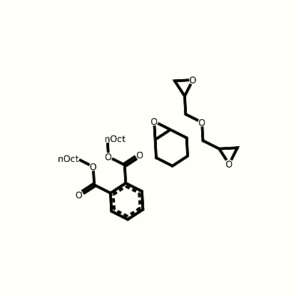 C(OCC1CO1)C1CO1.C1CCC2OC2C1.CCCCCCCCOC(=O)c1ccccc1C(=O)OCCCCCCCC